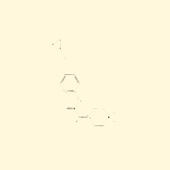 C[C@@H](C(=O)Nc1ccc(OCC2CC2)cn1)N1CCC(F)(F)CC1